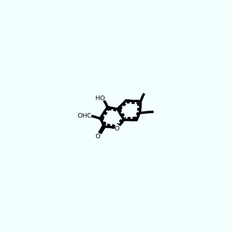 Cc1cc2oc(=O)c(C=O)c(O)c2cc1C